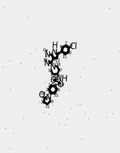 C=Nc1[nH]c(-c2ccc(Cl)cc2)cc1/C(=N\C)N1CCC(NS(=O)(=O)c2ccc(N3CCCC3=O)cc2)CC1